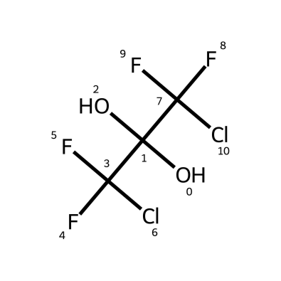 OC(O)(C(F)(F)Cl)C(F)(F)Cl